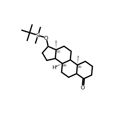 CC(C)(C)[Si](C)(C)OC1CCC2[C@@H]3CCC4C(=O)CCC[C@]4(C)C3CC[C@]12C